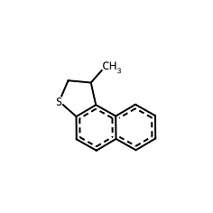 CC1CSc2ccc3ccccc3c21